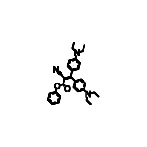 CCN(CC)c1ccc(C(=C(C#N)C(=O)Oc2ccccc2)c2ccc(N(CC)CC)cc2)cc1